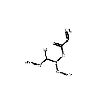 C=CC(=O)ON(OCCC)C(CC)OCCC